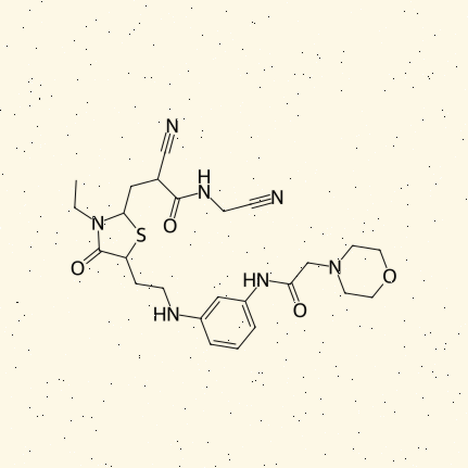 CCN1C(=O)C(CCNc2cccc(NC(=O)CN3CCOCC3)c2)SC1CC(C#N)C(=O)NCC#N